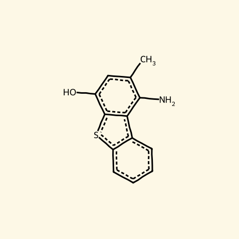 Cc1cc(O)c2sc3ccccc3c2c1N